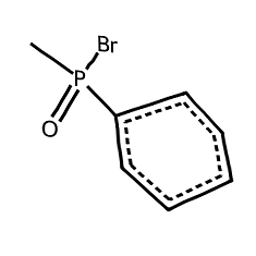 CP(=O)(Br)c1ccccc1